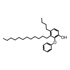 CCCCCCCCCCCCc1c(CCCC)ccc(O)c1Oc1ccccc1